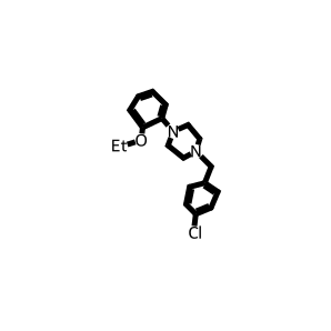 CCOc1ccccc1N1CCN(Cc2ccc(Cl)cc2)CC1